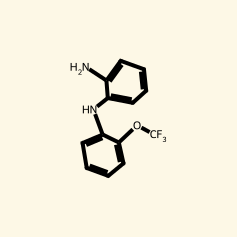 Nc1ccccc1Nc1ccccc1OC(F)(F)F